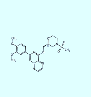 COc1ccc(-c2cc3nccnc3c(OC[C@@H]3CN(S(C)(=O)=O)CCO3)n2)cc1OC